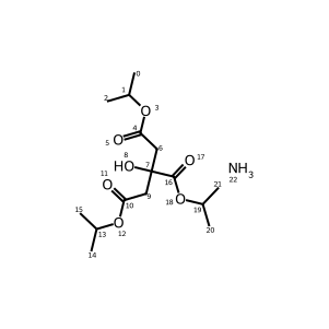 CC(C)OC(=O)CC(O)(CC(=O)OC(C)C)C(=O)OC(C)C.N